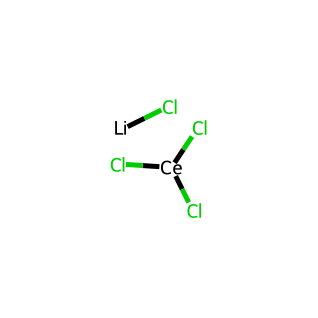 [Cl][Ce]([Cl])[Cl].[Li][Cl]